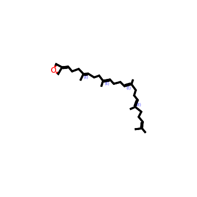 CC(C)=CCC/C(C)=C/CC/C(C)=C/CC/C=C(\C)CC/C=C(\C)CCC=C1COC1